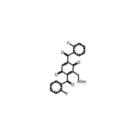 CCCCCCCCCCCC1=C(C(=O)c2ccccc2F)C(=O)C=C(C(=O)c2ccccc2F)C1=O